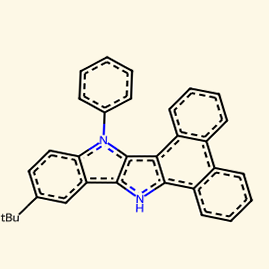 CC(C)(C)c1ccc2c(c1)c1[nH]c3c4ccccc4c4ccccc4c3c1n2-c1ccccc1